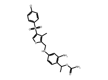 Cc1c(S(=O)(=O)c2ccc(Cl)cc2)csc1CNc1ccc(C(C)OC(N)=O)c(N)c1